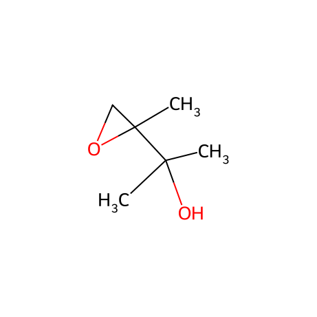 CC(C)(O)C1(C)CO1